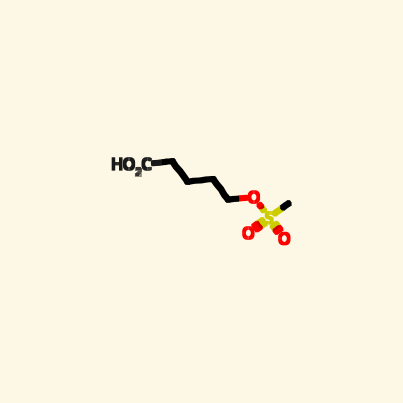 CS(=O)(=O)OCCCCC(=O)O